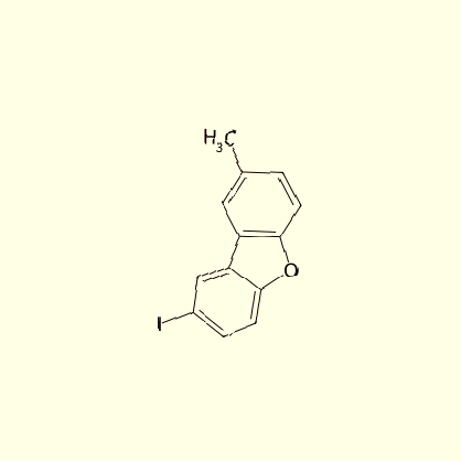 Cc1ccc2oc3ccc(I)cc3c2c1